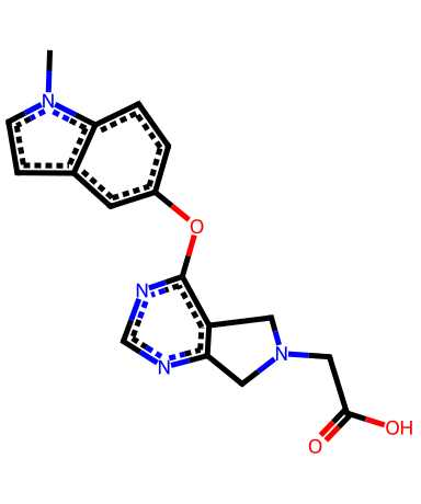 Cn1ccc2cc(Oc3ncnc4c3CN(CC(=O)O)C4)ccc21